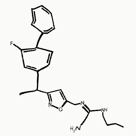 CCN/C(N)=N/c1cc(C(C)c2ccc(-c3ccccc3)c(F)c2)no1